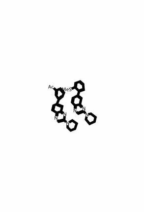 CC(=O)c1cccc(-c2ccc3ncc(N4CCCCC4)nc3c2)c1.CSc1ccccc1-c1ccc2ncc(N3CCCCC3)nc2c1